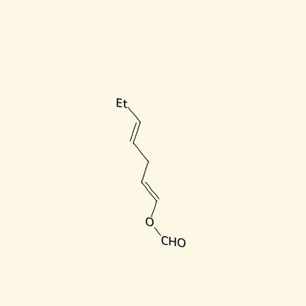 CCC=CCC=COC=O